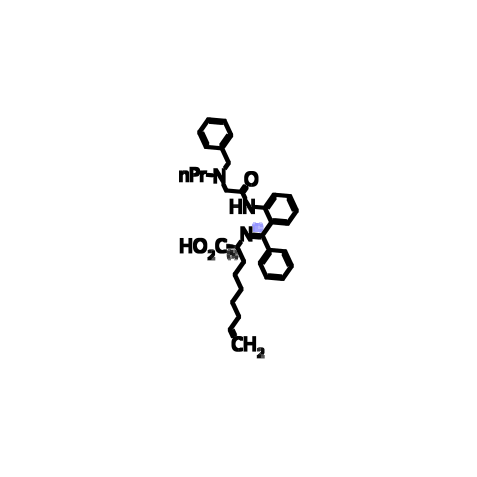 C=CCCCCC[C@H](/N=C(\c1ccccc1)c1ccccc1NC(=O)CN(CCC)Cc1ccccc1)C(=O)O